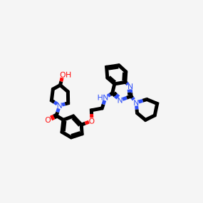 O=C(c1cccc(OCCNc2nc(N3CCCCC3)nc3ccccc23)c1)N1CCC(O)CC1